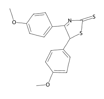 COc1ccc(C2=NC(=S)SC2c2ccc(OC)cc2)cc1